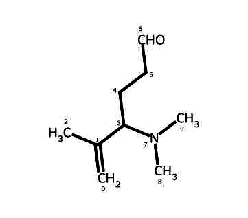 C=C(C)C(CCC=O)N(C)C